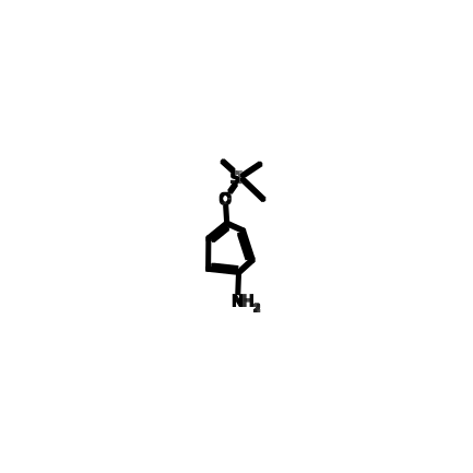 C[Si](C)(C)Oc1ccc(N)cc1